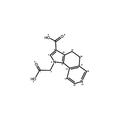 O=C(O)Cn1cc(C(=O)O)c2c1-c1ccncc1CC2